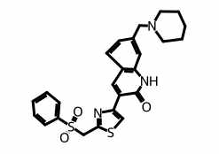 O=c1[nH]c2cc(CN3CCCCC3)ccc2cc1-c1csc(CS(=O)(=O)c2ccccc2)n1